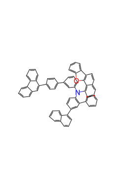 c1ccc(-c2cc(-c3cccc4ccccc34)ccc2N(c2cccc(-c3ccc(-c4cc5ccccc5c5ccccc45)cc3)c2)c2cccc3ccc4c5ccccc5oc4c23)cc1